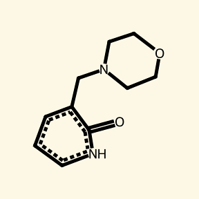 O=c1[nH]cccc1CN1CCOCC1